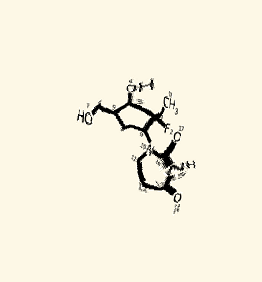 CC1(F)C(O)C(CO)CC1n1ccc(=O)[nH]c1=O